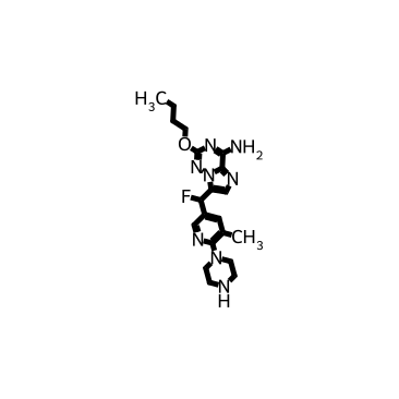 CCCCOc1nc(N)c2ncc(C(F)c3cnc(N4CCNCC4)c(C)c3)n2n1